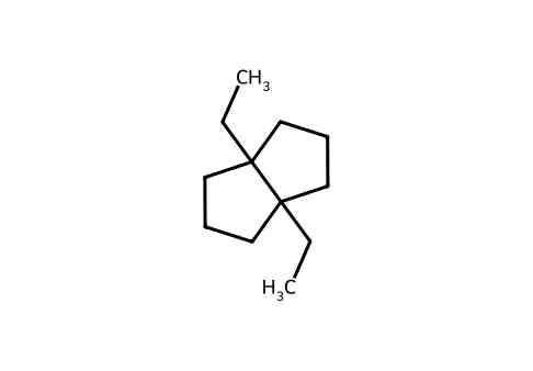 CCC12CCCC1(CC)CCC2